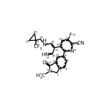 CN1Cc2ccc(-c3nc(C#N)c(F)cc3/C(C=N)=C/NCC3(C(F)(F)F)CC3)cc2C1=O